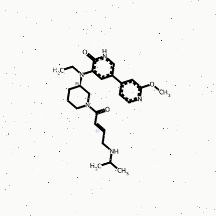 CCN(c1cc(-c2ccnc(OC)c2)c[nH]c1=O)[C@@H]1CCCN(C(=O)/C=C/CNC(C)C)C1